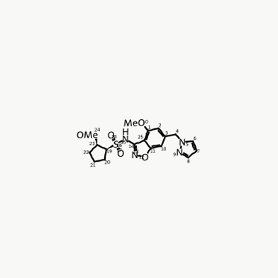 COc1cc(Cn2cccn2)cc2onc(NS(=O)(=O)[C@H]3CCC[C@H]3OC)c12